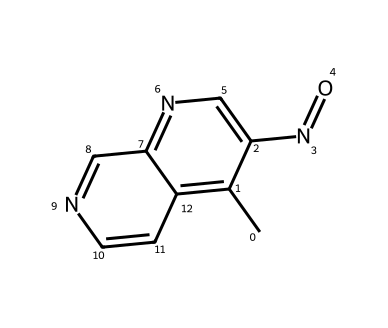 Cc1c(N=O)cnc2cnccc12